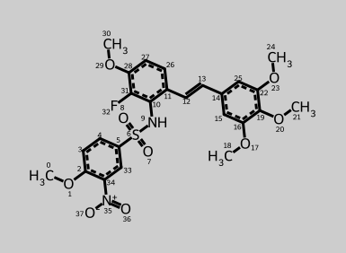 COc1ccc(S(=O)(=O)Nc2c(C=Cc3cc(OC)c(OC)c(OC)c3)ccc(OC)c2F)cc1[N+](=O)[O-]